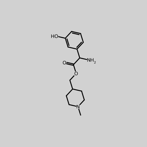 CN1CCC(COC(=O)C(N)c2cccc(O)c2)CC1